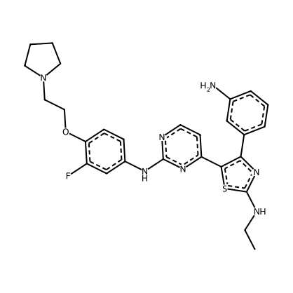 CCNc1nc(-c2cccc(N)c2)c(-c2ccnc(Nc3ccc(OCCN4CCCC4)c(F)c3)n2)s1